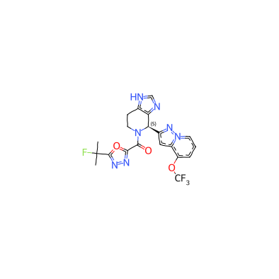 CC(C)(F)c1nnc(C(=O)N2CCc3[nH]cnc3[C@H]2c2cc3c(OC(F)(F)F)cccn3n2)o1